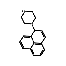 C1=CC(N2CCNCC2)c2cccc3cccc1c23